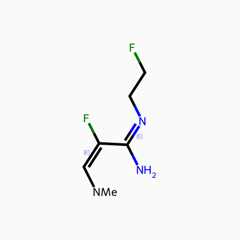 CN/C=C(F)\C(N)=N/CCF